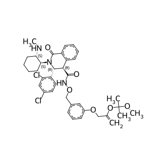 C=C(COc1cccc(CONC(=O)[C@@H]2c3ccccc3C(=O)N([C@H]3CCCC[C@@H]3NC)[C@H]2c2ccc(Cl)cc2Cl)c1)OC(C)(C)OC